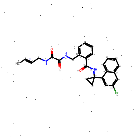 N#C/C=C/CNC(=O)C(=O)NCc1ccccc1C(=O)NC1(c2cc(Br)cc3ccccc23)CC1